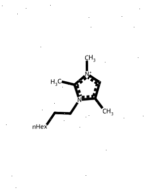 CCCCCCCCn1c(C)c[n+](C)c1C